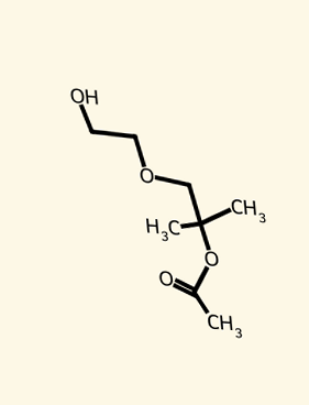 CC(=O)OC(C)(C)COCCO